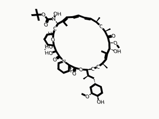 CO[C@@H]1C[C@H](C[C@@H](C)[C@@H]2CC[C@H](C)/C=C(\C)[C@@H](O)[C@@H](OC)C(=O)[C@H](C)C[C@H](C)/C=C/C=C/C=C(\C)[C@@H](N(O)C(=O)OC(C)(C)C)C[C@@H]3CC[C@@H](C)[C@@](O)(O3)C(O)C(=O)N3CCCC[C@H]3C(=O)O2)CC[C@H]1O